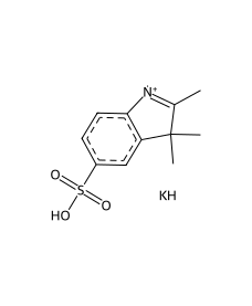 CC1=[N+]c2ccc(S(=O)(=O)O)cc2C1(C)C.[KH]